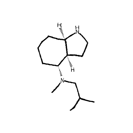 CC(C)CN(C)[C@@H]1CCC[C@H]2NCC[C@@H]12